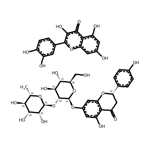 C[C@@H]1O[C@@H](O[C@H]2[C@H](Oc3cc(O)c4c(c3)O[C@H](c3ccc(O)cc3)CC4=O)O[C@H](CO)[C@@H](O)[C@@H]2O)[C@H](O)[C@H](O)[C@H]1O.O=c1c(O)c(-c2ccc(O)c(O)c2)oc2cc(O)cc(O)c12